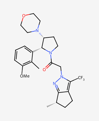 COc1cccc([C@@H]2[C@H](N3CCOCC3)CCN2C(=O)Cn2nc3c(c2C(F)(F)F)CC[C@@H]3C)c1C